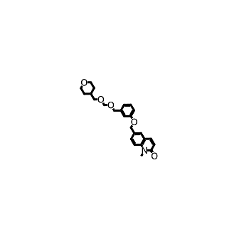 Cn1c(=O)ccc2cc(COc3cccc(COCOCC4CCOCC4)c3)ccc21